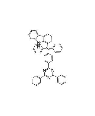 c1ccc(-c2nc(-c3ccccc3)nc(-c3ccc([Si](c4ccccc4)(c4ccccc4)c4cccc5c4[nH]c4ccccc45)cc3)n2)cc1